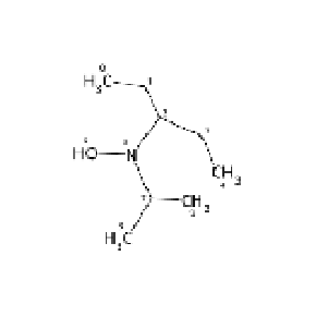 CCC(CC)N(O)C(C)C